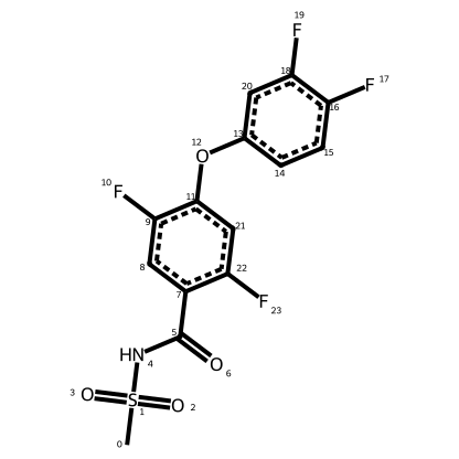 CS(=O)(=O)NC(=O)c1cc(F)c(Oc2ccc(F)c(F)c2)cc1F